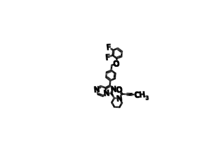 CC#CC(=O)N1CCCC[C@H]1c1nc(-c2ccc(COc3cccc(F)c3F)cc2)c2cnccn12